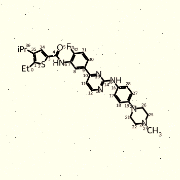 CCc1sc(C(=O)Nc2cc(-c3ccnc(Nc4ccc(N5CCN(C)CC5)cc4)n3)ccc2F)cc1C(C)C